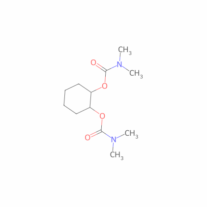 CN(C)C(=O)OC1CCCCC1OC(=O)N(C)C